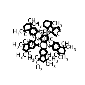 Cc1cc2c(cc1N1c3cc4c(cc3B3c5cc6c(cc5N(c5cc7c(cc5C)C(C)(C)CCC7(C)C)c5cc(N7c8ccccc8C8(C)CCCCC78C)cc1c53)C(C)(C)CC6(C)C)C(C)(C)CC4(C)C)C(C)(C)CCC2(C)C